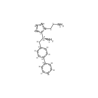 NCCn1nnnc1[C@@H](N)Cc1ccc(-c2ccccc2)cc1